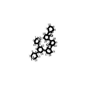 c1cncc(-c2cc(-c3ccncc3)cc(-c3cccc4c3sc3c(-c5cccc6c5sc5ccccc56)cccc34)c2)c1